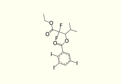 CCOC(=O)C(F)(F)C(OC(=O)c1cc(I)cc(I)c1I)C(C)C